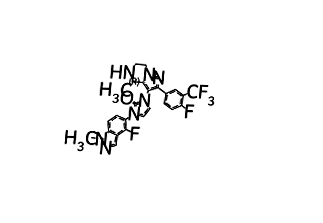 C[C@H]1NCCn2nc(-c3ccc(F)c(C(F)(F)F)c3)c(-n3ccn(-c4ccc5c(cnn5C)c4F)c3=O)c21